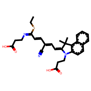 CCSC(/C=C/C(C#N)=C/C=C1/N(CCC(=O)O)c2ccc3ccccc3c2C1(C)C)=N/CCC(=O)O